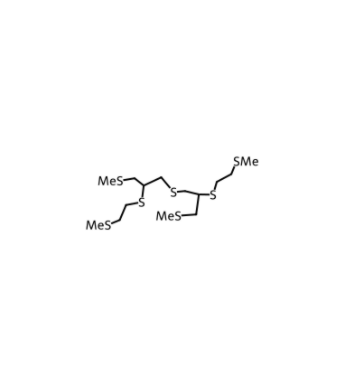 CSCCSC(CSC)CSCC(CSC)SCCSC